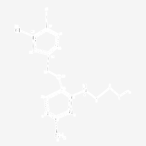 CCCCNc1nc(N)ncc1OCc1ccc(I)c(Cl)c1